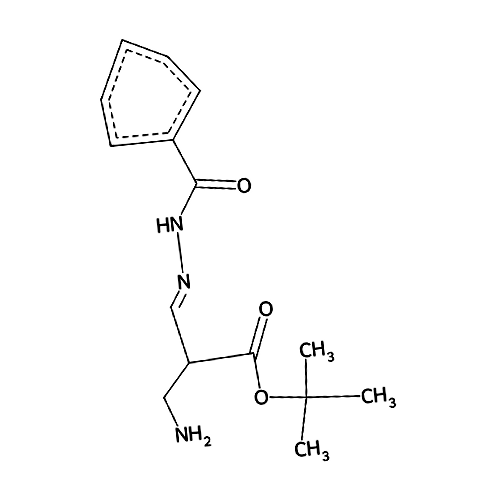 CC(C)(C)OC(=O)C(/C=N/NC(=O)c1ccccc1)CN